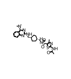 CC(=O)Nc1nc(C)c(S(=O)(=O)NC[C@H]2CC[C@H](CNc3nc(N(C)C)c4ccccc4n3)CC2)s1